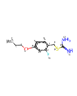 COCCOc1ccc(CSC(=N)N)c(F)c1